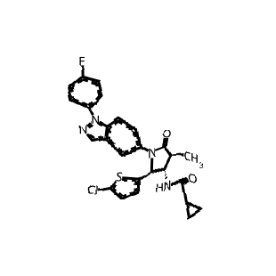 C[C@@H]1C(=O)N(c2ccc3c(cnn3-c3ccc(F)cc3)c2)[C@H](c2ccc(Cl)s2)[C@H]1NC(=O)C1CC1